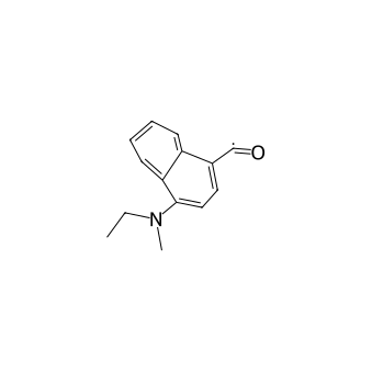 CCN(C)c1ccc([C]=O)c2ccccc12